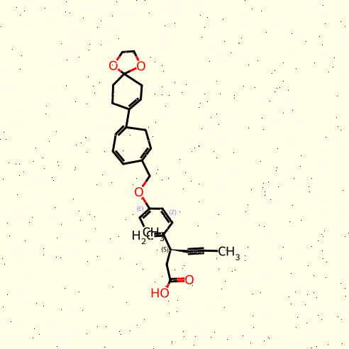 C=C(/C=C\C(=C/C)OCC1=CCC(C2=CCC3(CC2)OCCO3)=CC=C1)[C@@H](C#CC)CC(=O)O